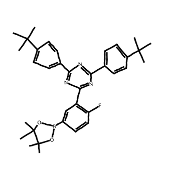 CC(C)(C)c1ccc(-c2nc(-c3ccc(C(C)(C)C)cc3)nc(-c3cc(B4OC(C)(C)C(C)(C)O4)ccc3F)n2)cc1